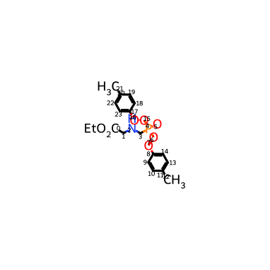 CCOC(=O)CNCP(=O)(OOc1ccc(C)cc1)OOc1ccc(C)cc1